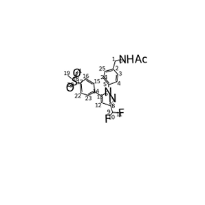 CC(=O)NCc1ccc(-n2nc(C(F)F)cc2-c2ccc(S(C)(=O)=O)cc2)cc1